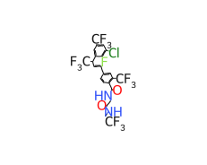 O=C(CNC(=O)c1ccc(/C(F)=C/C(c2cc(Cl)cc(C(F)(F)F)c2)C(F)(F)F)cc1C(F)(F)F)NCC(F)(F)F